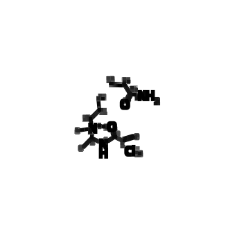 C=CC(=O)NC(C)[N+](C)(C)CCC.C=CC(N)=O.[Cl-]